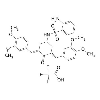 COc1ccc(/C=C2\CC(NS(=O)(=O)c3ccccc3N)C/C(=C\c3ccc(OC)c(OC)c3)C2=O)cc1OC.O=C(O)C(F)(F)F